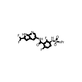 CCCS(=O)(=O)Nc1ccc(F)c(C(=O)Nc2cnc3[nH]c(C(F)F)cc3c2)c1F